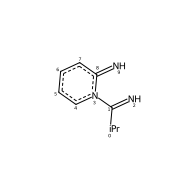 CC(C)C(=N)n1ccccc1=N